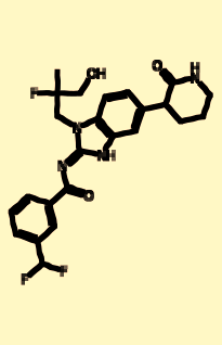 CC(F)(CO)Cn1/c(=N/C(=O)c2cccc(C(F)F)c2)[nH]c2cc(C3CCCNC3=O)ccc21